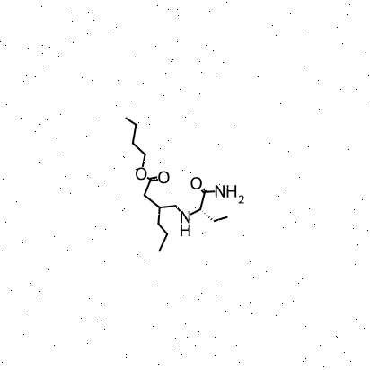 CCCCOC(=O)CC(CCC)CN[C@@H](CC)C(N)=O